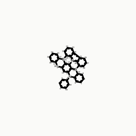 c1ccc(N2c3ccccc3B3c4c2cc2c5c4-n4c6c(cccc6c6cccc3c64)B5c3ccccc3S2)cc1